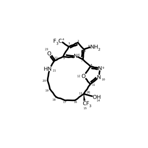 Nc1cc(C(F)(F)F)c2nc1-c1nnc(o1)[C@@](O)(C(F)(F)F)CCCCCNC2=O